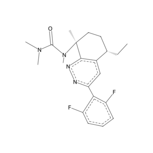 CC[C@H]1CC[C@](C)(N(C)C(=O)N(C)C)c2nnc(-c3c(F)cccc3F)cc21